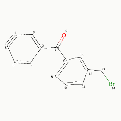 O=C(c1cc#ccc1)c1cccc(CBr)c1